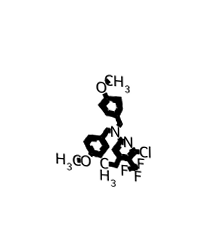 CCc1cc(N(Cc2ccc(OC)cc2)Cc2ccc(OC)cc2)nc(Cl)c1C(F)(F)F